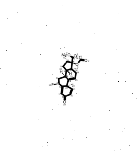 CCC(=O)O[C@]1(C(=O)OC)[C@@H](C)C[C@H]2[C@@H]3C[C@H](F)C4=CC(=O)C=C[C@]4(C)C3=CC[C@@]21C